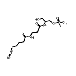 CP(=O)(O)OCC(CO)NC(=O)CCNC(=O)CCCN=[N+]=[N-]